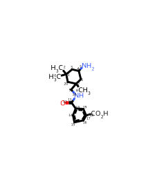 CC1(C)CC(N)CC(C)(CNC(=O)c2cccc(C(=O)O)c2)C1